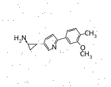 COc1cc(-c2ccc([C@@H]3C[C@H]3N)cn2)ccc1C